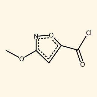 COc1cc(C(=O)Cl)on1